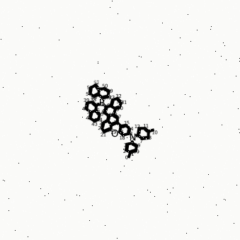 Cc1ccc(N(c2ccc(C)cc2)c2ccc3c(c2)Oc2cccc4c2c-3cc2c3ccccc3c(B(c3cccc5ccccc35)c3cccc5ccccc35)cc42)cc1